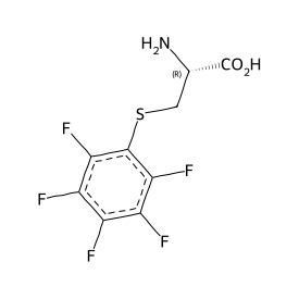 N[C@@H](CSc1c(F)c(F)c(F)c(F)c1F)C(=O)O